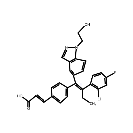 CC/C(=C(\c1ccc(C=CC(=O)O)cc1)c1ccc2c(cnn2CCO)c1)c1ccc(F)cc1Cl